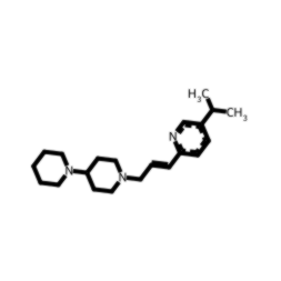 CC(C)c1ccc(/C=C/CN2CCC(N3CCCCC3)CC2)nc1